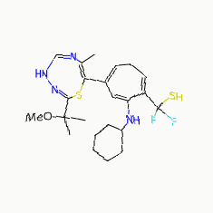 COC(C)(C)c1n[nH]cnc(C)c(C2=CCC=C(C(F)(F)S)C(NC3CCCCC3)=C2)s1